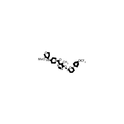 CO[C@H]1COCC[C@H]1NC1CCN(C(=O)c2ncnc(OC[C@H]3CCC[C@@H](c4ccc(OC(F)(F)F)cc4)O3)c2C)CC1